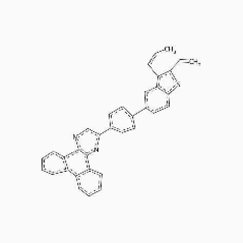 C=Cc1sc2ccc(-c3ccc(-c4cnc5c6ccccc6c6ccccc6c5n4)cc3)cc2c1/C=C\C